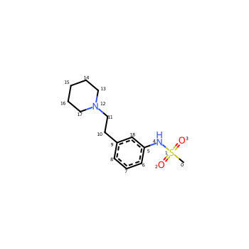 CS(=O)(=O)Nc1cccc(CCN2CCCCC2)c1